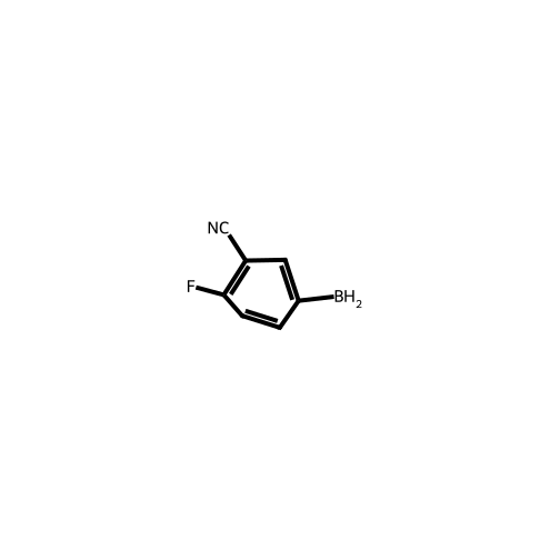 Bc1ccc(F)c(C#N)c1